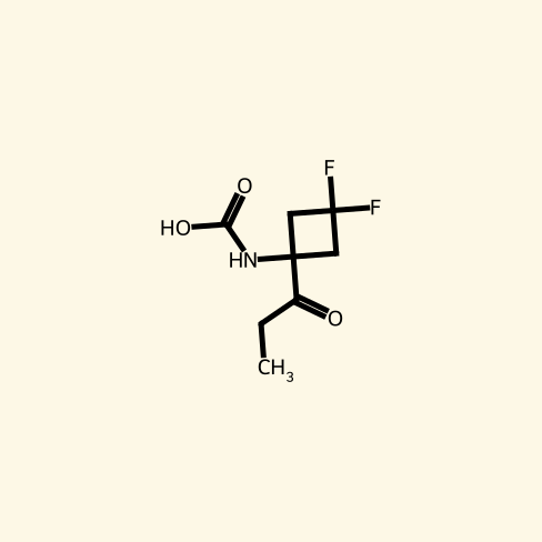 CCC(=O)C1(NC(=O)O)CC(F)(F)C1